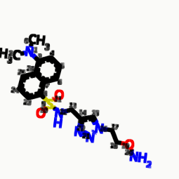 CN(C)c1cccc2c(S(=O)(=O)NCc3cn(CCON)nn3)cccc12